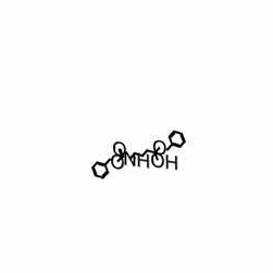 O=C(N[CH]CCC(O)OCc1ccccc1)OCc1ccccc1